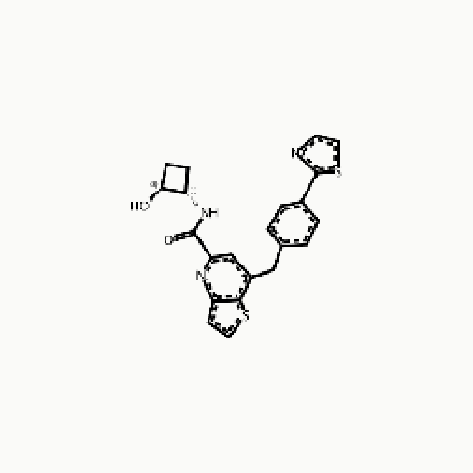 O=C(N[C@H]1CC[C@@H]1O)c1cc(Cc2ccc(-c3nccs3)cc2)c2sccc2n1